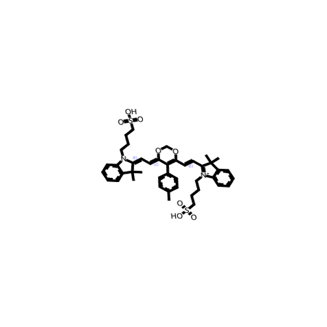 Cc1ccc(C2=C(/C=C/C3=[N+](CCCCS(=O)(=O)O)c4ccccc4C3(C)C)OCO/C2=C\C=C2\N(CCCCS(=O)(=O)O)c3ccccc3C2(C)C)cc1